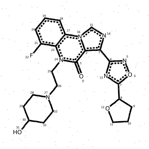 O=c1c2c(-c3noc(C4CCCO4)n3)ncn2c2cccc(F)c2n1CCN1CCC(O)CC1